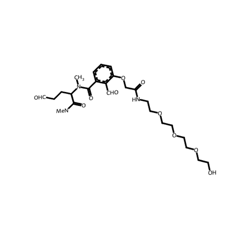 CNC(=O)C(CCC=O)N(C)C(=O)c1cccc(OCC(=O)NCCOCCOCCOCCO)c1C=O